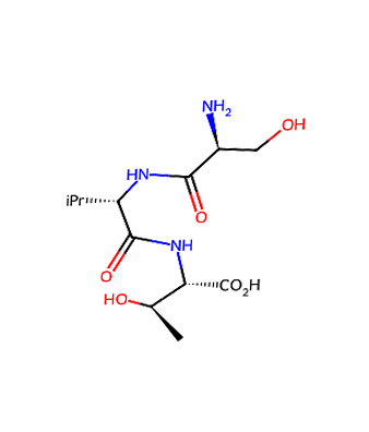 CC(C)[C@H](NC(=O)[C@@H](N)CO)C(=O)N[C@H](C(=O)O)[C@@H](C)O